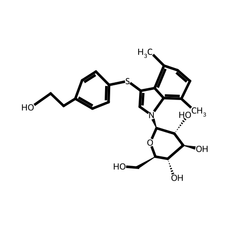 Cc1ccc(C)c2c1c(Sc1ccc(CCO)cc1)cn2[C@@H]1O[C@H](CO)[C@@H](O)[C@H](O)[C@H]1O